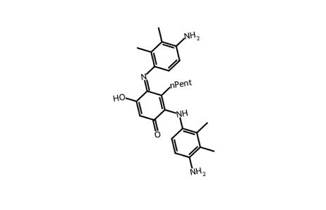 CCCCCC1=C(Nc2ccc(N)c(C)c2C)C(=O)C=C(O)C1=Nc1ccc(N)c(C)c1C